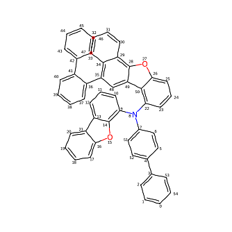 c1ccc(-c2ccc(N(c3cccc4c3oc3ccccc34)c3cccc4oc5c6ccccc6c(-c6ccccc6-c6ccccc6)cc5c34)cc2)cc1